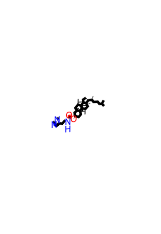 CC(C)CCC[C@@H](C)[C@H]1CC[C@H]2[C@@H]3CC=C4C[C@@H](OC(=O)NCCc5cncn5C)CC[C@]4(C)[C@H]3CC[C@]12C